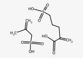 C=C(C)CS(=O)(=O)O.C=C(CCCS(=O)(=O)O)C(=O)O